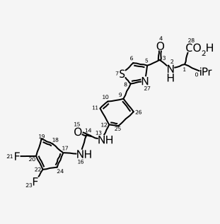 CC(C)C(NC(=O)c1csc(-c2ccc(NC(=O)Nc3ccc(F)c(F)c3)cc2)n1)C(=O)O